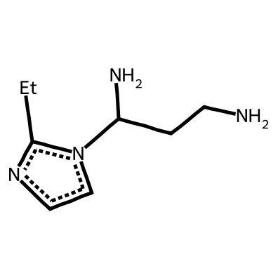 CCc1nccn1C(N)CCN